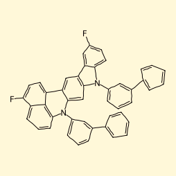 Fc1ccc2c(c1)c1cc3c(cc1n2-c1cccc(-c2ccccc2)c1)N(c1cccc(-c2ccccc2)c1)c1cccc2c(F)ccc-3c12